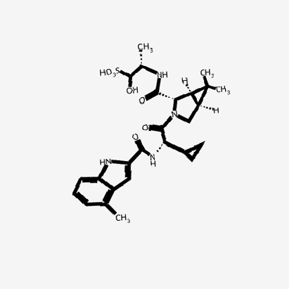 Cc1cccc2[nH]c(C(=O)N[C@H](C(=O)N3C[C@H]4[C@@H]([C@H]3C(=O)N[C@@H](C)C(O)S(=O)(=O)O)C4(C)C)C3CC3)cc12